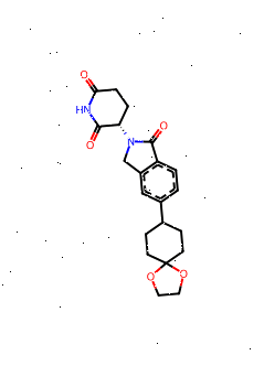 O=C1CC[C@H](N2Cc3cc(C4CCC5(CC4)OCCO5)ccc3C2=O)C(=O)N1